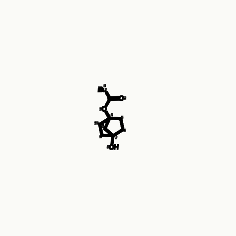 CCC(C)C(=O)OC12CCC(O)(CC1)C2